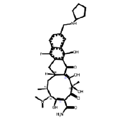 C[C@H]1C[C@@H]2Cc3c(c(O)c4cc(CNC5CCCC5)ccc4c3F)C(=O)/C2=C(\O)[C@](C)(O)C(=O)/C(C(N)=O)=C(/O)[C@H]1N(C)C